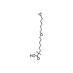 CC(C)(CCCCCCOCCCCCCC1CC1)C(=O)O